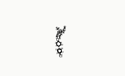 S=C=N[Si](CCCO[C@H]1CC[C@H](c2ccc(Cl)cc2)CC1)(N=C=S)N=C=S